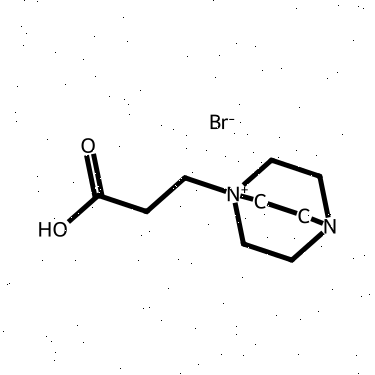 O=C(O)CC[N+]12CCN(CC1)CC2.[Br-]